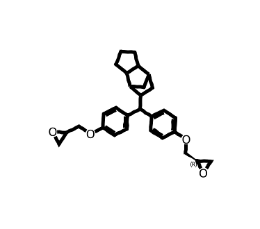 c1cc(C(c2ccc(OC[C@H]3CO3)cc2)C2CC3CC2C2CCCC32)ccc1OCC1CO1